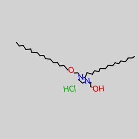 CCCCCCCCCCCCCCCCOCCN1CCN(CCO)C1CCCCCCCCCCCCCCC.Cl